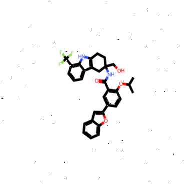 CC(C)Oc1ccc(-c2cc3ccccc3o2)cc1C(=O)NC1(CO)CCc2[nH]c3c(C(F)(F)F)cccc3c2C1